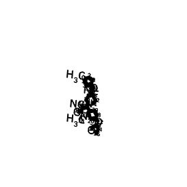 Cc1ccc2oc(C3(F)CCN(c4c(C#N)c(=O)n(C)c5cc(O[C@@H]6CCOC6)ccc45)CC3)nc2c1